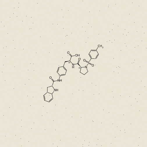 Cc1ccc(S(=O)(=O)N2CCC[C@H]2C(=O)N[C@@H](Cc2ccc(NC(=O)C3CC4C=CC=CC4N3)cc2)C(=O)O)cc1